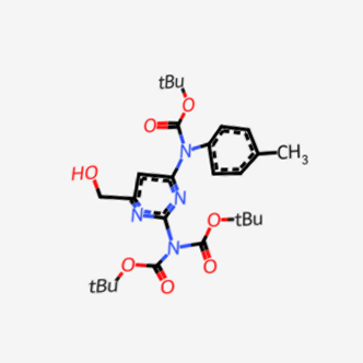 Cc1ccc(N(C(=O)OC(C)(C)C)c2cc(CO)nc(N(C(=O)OC(C)(C)C)C(=O)OC(C)(C)C)n2)cc1